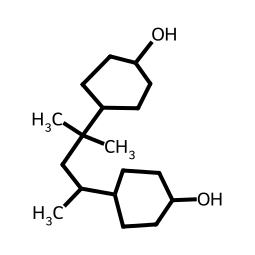 CC(CC(C)(C)C1CCC(O)CC1)C1CCC(O)CC1